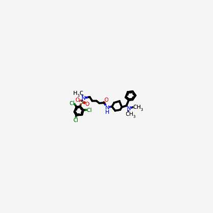 CN(C)C(c1ccccc1)C1CCC(NC(=O)CCCCN(C)S(=O)(=O)c2c(Cl)cc(Cl)cc2Cl)CC1